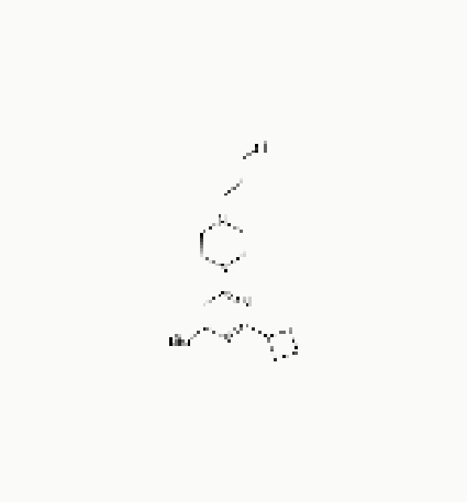 CC(C)(C)c1cc(N2CCN(CCCCl)CC2)nc(C2CCC2)n1